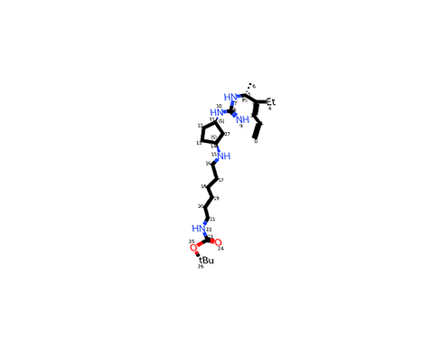 C=CC=C(CC)[C@@H](C)NC(=N)N[C@H]1CC[C@H](NCCCCCCNC(=O)OC(C)(C)C)C1